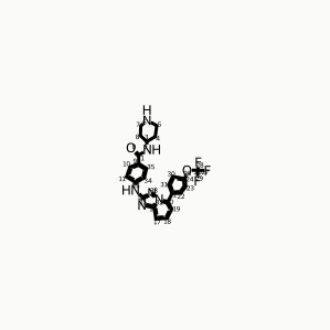 O=C(NC1CCNCC1)c1ccc(Nc2nc3cccc(-c4ccc(OC(F)(F)F)cc4)n3n2)cc1